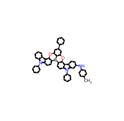 Cc1ccc(Nc2ccc3c4c5c(ccc4n(-c4ccccc4)c3c2)B2c3ccc4c(c3Oc3cc(-c6ccccc6)cc(c32)O5)c2ccccc2n4-c2ccccc2)cc1